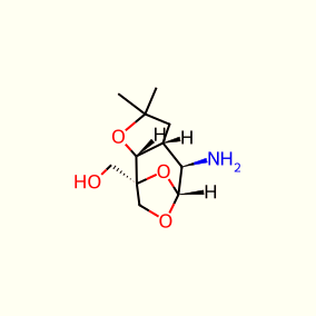 CC1(C)C[C@@H]2[C@@H](N)[C@@H]3OC[C@](CO)(O3)[C@@H]2O1